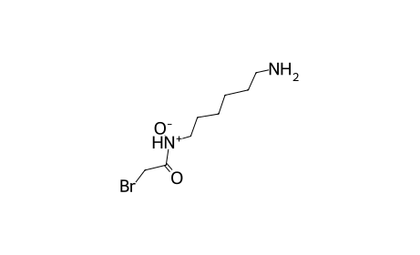 NCCCCCC[NH+]([O-])C(=O)CBr